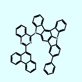 c1ccc(-c2ccc3c(c2)c2cc4c(c5ccccc5n4-c4nc(-c5cc6ccccc6c6ccccc56)nc5ccccc45)c4c5ccccc5n3c24)cc1